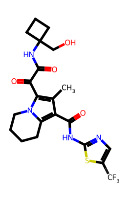 Cc1c(C(=O)Nc2ncc(C(F)(F)F)s2)c2n(c1C(=O)C(=O)NC1(CO)CCC1)CCCC2